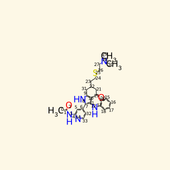 CC(=O)Nc1cc(-c2[nH]c3c(c2Nc2ccccc2)C(=O)CC(CCSCCN(C)C)C3)ccn1